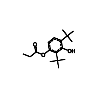 CCC(=O)Oc1ccc(C(C)(C)C)c(O)c1C(C)(C)C